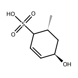 C[C@@H]1C[C@@H](O)C=CC1S(=O)(=O)O